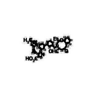 CC[C@@H]1CN(Cc2cccc(-c3cccc(-n4ncc(C(=O)O)c4[C@@H]4C[C@H]4c4cn(C)nn4)c3)c2)C(C=O)CC(=O)Cc2ccccc2O1